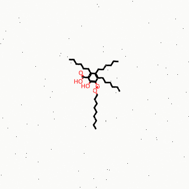 CCCCCCCCCOOc1c(O)c(C(=O)O)c(CCCCCC)c(CCCCCC)c1CCCCCC